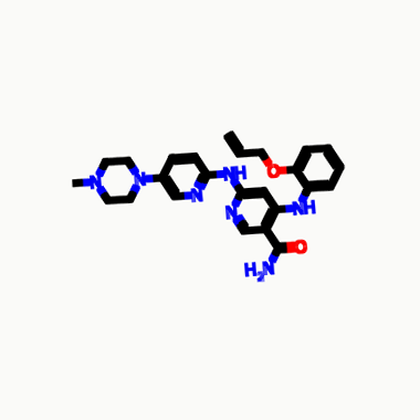 C=CCOc1ccccc1Nc1cc(Nc2ccc(N3CCN(C)CC3)cn2)ncc1C(N)=O